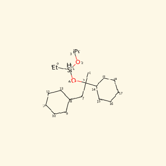 CC[SiH](OC(C)C)OC(C)(CC1CCCCC1)C1CCCCC1